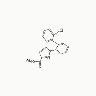 COC(=O)c1ccn(-c2ccccc2-c2ccccc2Cl)n1